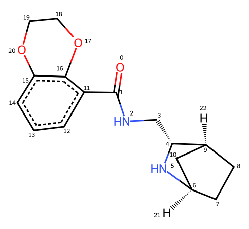 O=C(NC[C@H]1N[C@@H]2CC[C@H]1C2)c1cccc2c1OCCO2